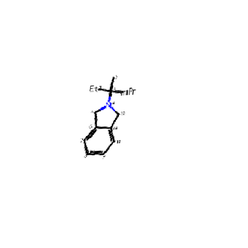 CCCC(C)(CC)N1Cc2ccccc2C1